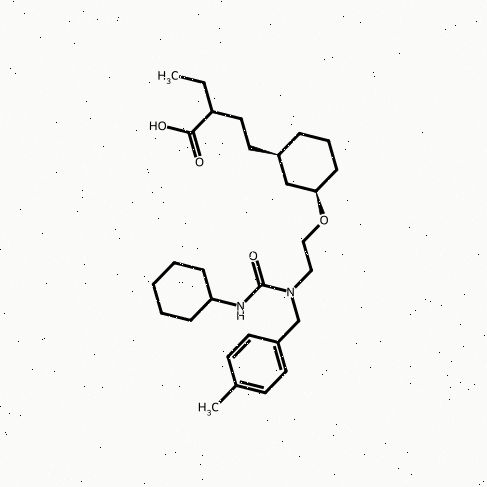 CCC(CC[C@H]1CCC[C@@H](OCCN(Cc2ccc(C)cc2)C(=O)NC2CCCCC2)C1)C(=O)O